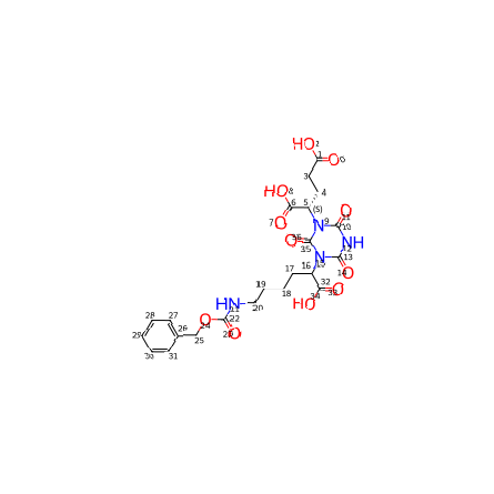 O=C(O)CC[C@@H](C(=O)O)n1c(=O)[nH]c(=O)n(C(CCCCNC(=O)OCc2ccccc2)C(=O)O)c1=O